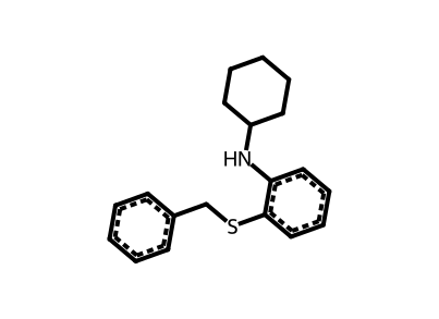 c1ccc(CSc2ccccc2NC2CCCCC2)cc1